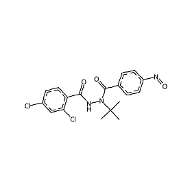 CC(C)(C)N(NC(=O)c1ccc(Cl)cc1Cl)C(=O)c1ccc(N=O)cc1